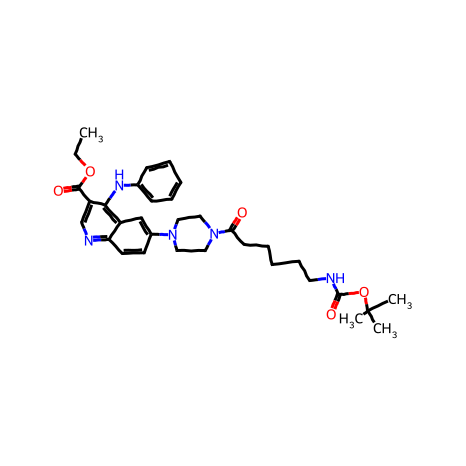 CCOC(=O)c1cnc2ccc(N3CCN(C(=O)CCCCCNC(=O)OC(C)(C)C)CC3)cc2c1Nc1ccccc1